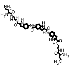 NCCC(N)C(=O)NCCNC(=O)c1cc2ccc(NC(=O)c3ccc4[nH]c(C(=O)Nc5ccc6cc(C(=O)NCCNC(=O)C(N)CCN)[nH]c6c5)cc4c3)cc2[nH]1